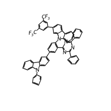 FC(F)(F)c1cc(-c2ccc3c4ccccc4n(-c4ccc(-c5ccc6c(c5)c5ccccc5n6-c5ccccc5)cc4-c4nc(-c5ccccc5)nc(-c5ccccc5)n4)c3c2)cc(C(F)(F)F)c1